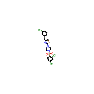 O=S(=O)(c1ccc(Br)cc1Cl)N1CCN(c2nc(Cc3cccc(Br)c3)cs2)CC1